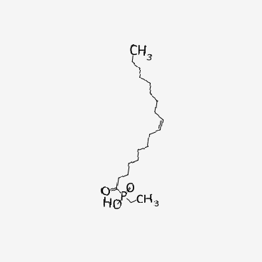 CCCCCCCC/C=C\CCCCCCCC(=O)P(=O)(O)CC